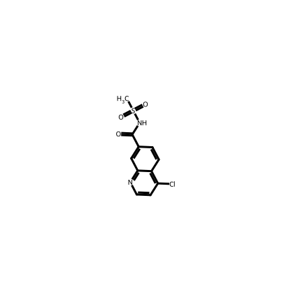 CS(=O)(=O)NC(=O)c1ccc2c(Cl)ccnc2c1